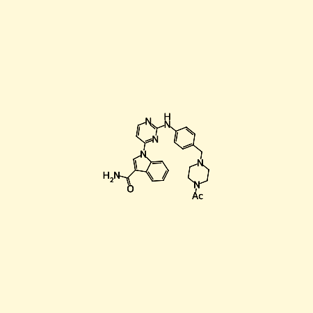 CC(=O)N1CCN(Cc2ccc(Nc3nccc(-n4cc(C(N)=O)c5ccccc54)n3)cc2)CC1